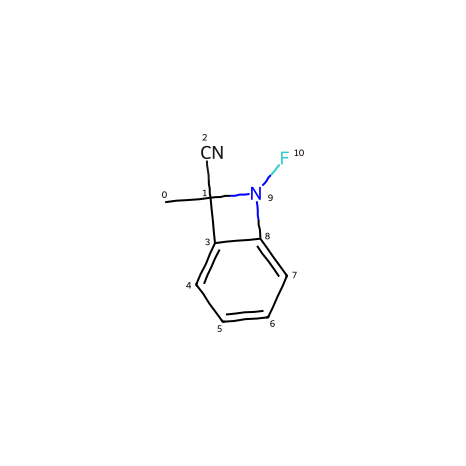 CC1(C#N)c2ccccc2N1F